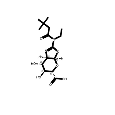 CCN(C(=O)CC(C)(C)C)C1=N[C@@H]2[C@@H](O)[C@H](O)[C@@H](C(=O)O)O[C@@H]2S1